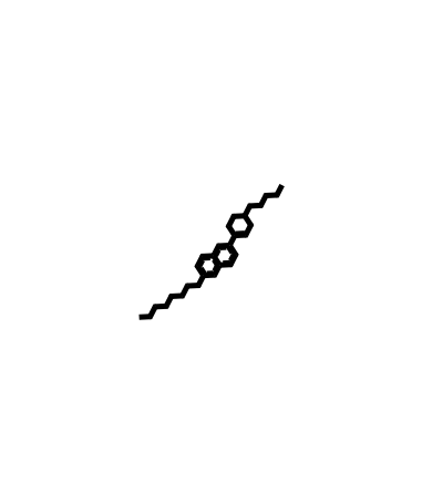 CCCCCCCCc1ccc2cc(C3=CCC(CCCCC)CC3)ccc2c1